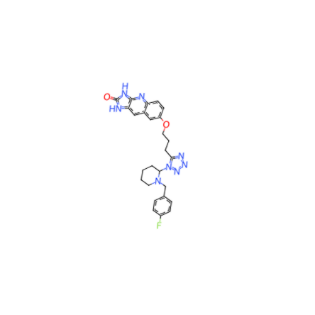 O=c1[nH]c2cc3cc(OCCCc4nnnn4C4CCCCN4Cc4ccc(F)cc4)ccc3nc2[nH]1